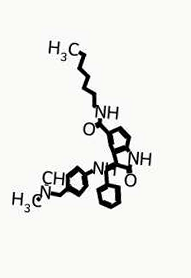 CCCCCCCNC(=O)c1ccc2c(c1)C(=C(Nc1ccc(CN(C)C)cc1)c1ccccc1)C(=O)N2